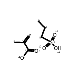 C=C(C)C([O])=O.CCCS(=O)(=O)O